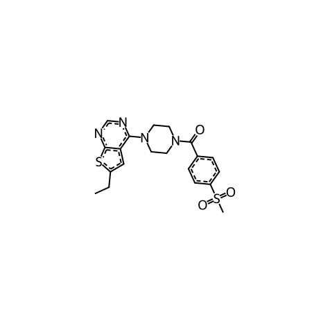 CCc1cc2c(N3CCN(C(=O)c4ccc(S(C)(=O)=O)cc4)CC3)ncnc2s1